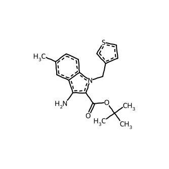 Cc1ccc2c(c1)c(N)c(C(=O)OC(C)(C)C)n2Cc1ccsc1